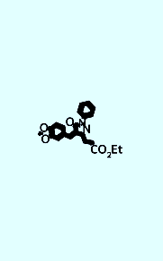 CCOC(=O)CCC1=NN(c2ccccc2)C(=O)/C1=C\c1ccc2c(c1)OCO2